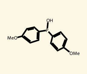 COc1ccc(P(O)c2ccc(OC)cc2)cc1